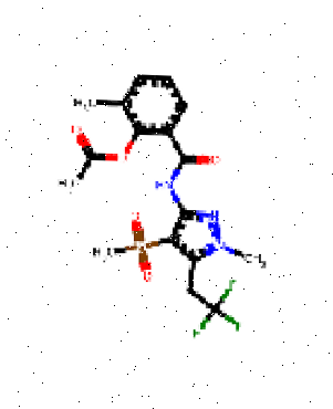 CC(=O)Oc1c(C)cccc1C(=O)Nc1nn(C)c(CC(F)(F)F)c1S(C)(=O)=O